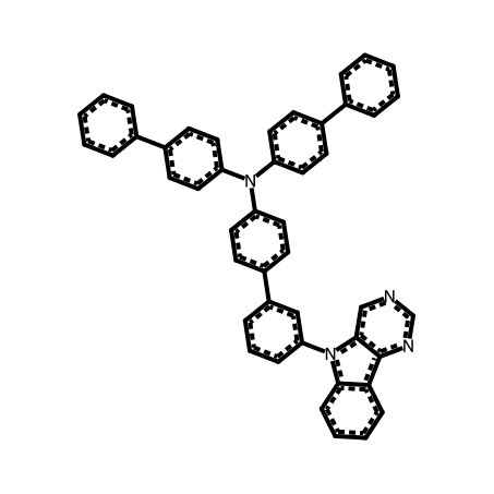 c1ccc(-c2ccc(N(c3ccc(-c4ccccc4)cc3)c3ccc(-c4cccc(-n5c6ccccc6c6ncncc65)c4)cc3)cc2)cc1